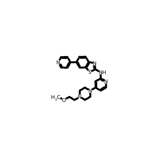 COCCN1CCN(c2ccnc(Nc3nc4ccc(-c5ccncc5)cc4s3)c2)CC1